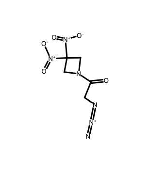 [N-]=[N+]=NCC(=O)N1CC([N+](=O)[O-])([N+](=O)[O-])C1